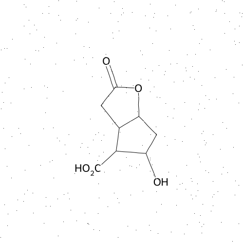 O=C1CC2C(CC(O)C2C(=O)O)O1